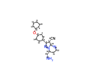 N#Cc1c(-c2ccc(Oc3ccccc3)cc2)nn2c(CN)ccnc12